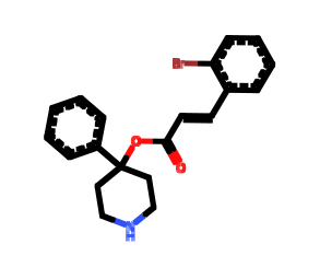 O=C(/C=C/c1ccccc1Br)OC1(c2ccccc2)CCNCC1